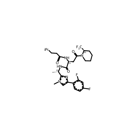 CC(C)CCC(=O)N[C@@H](CC(=O)N1CCCC[C@@H]1C(F)(F)F)C(=O)N[C@@H](C)c1nc(-c2ccc(F)cc2F)cn1C